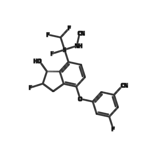 N#CNS(F)(c1ccc(Oc2cc(F)cc(C#N)c2)c2c1C(O)C(F)C2)C(F)F